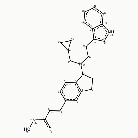 O=C(/C=C/c1ccc2c(c1)CCC2N(CCc1c[nH]c2ccccc12)CC1CC1)NO